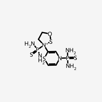 NP(N)(=S)N1C=CSC([N+]2(P(N)(N)=S)CCOS2)=C1